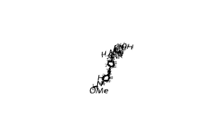 COCCNCc1ccc(C#Cc2ccc(C(=O)NC(C(=O)NO)C(C)N)cc2)cc1